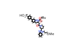 COCCCn1c(C2CCCN(C(=O)CC(Cc3ccc(-c4ccc(C(=O)O)cc4)cc3)NC(=O)OC(C)(C)C)C2)nc2ccccc21